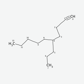 C#CCCC(CCC)CCCCC